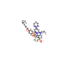 C=Nc1ccc([S+](C)[O-])cc1/C(=C(\C)S(=O)(=O)c1ccc(OCCCCCCC)cc1)N1CCC(N2CCCCC2)CC1